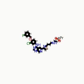 CCCS(=O)(=O)CCNCCCc1nc(-c2cc3c(Nc4ccc(OCc5cccc(F)c5)c(Cl)c4)ncnc3cn2)cs1